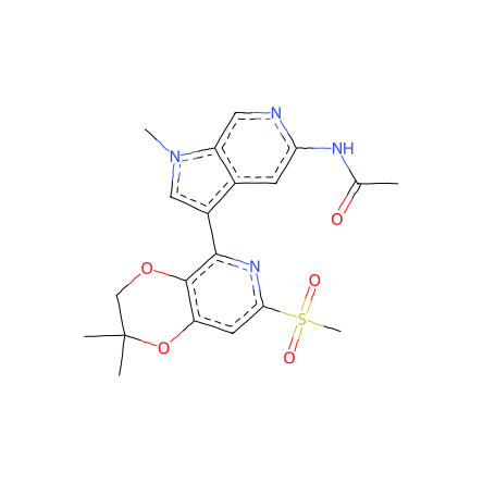 CC(=O)Nc1cc2c(-c3nc(S(C)(=O)=O)cc4c3OCC(C)(C)O4)cn(C)c2cn1